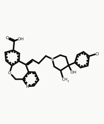 CC1CN(CCC=C2c3cc(C(=O)O)ccc3OCc3ncccc32)CCC1(O)c1ccc(Cl)cc1